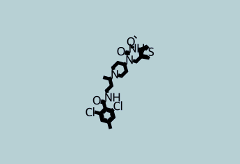 CONC(=O)N(Cc1ccsc1)C1CCN(C(C)CCNC(=O)c2c(Cl)cc(C)cc2Cl)CC1